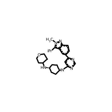 CC(C)c1c2cc(-c3cc(N[C@H]4CC[C@H](NC5CCOCC5)CC4)ncn3)ccc2nn1C